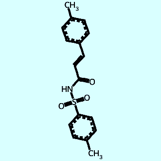 Cc1ccc(/C=C/C(=O)NS(=O)(=O)c2ccc(C)cc2)cc1